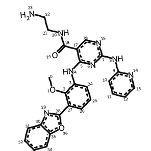 COc1c(Nc2nc(Nc3ccccn3)ncc2C(=O)NCCN)cccc1-c1nc2ccccc2o1